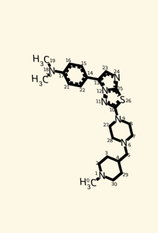 CN1CCC(CN2CCN(c3nn4c(-c5ccc(N(C)C)cc5)cnc4s3)CC2)CC1